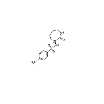 Cc1ccc(S(=O)(=O)N[C@H]2CCCCNC2=O)cc1